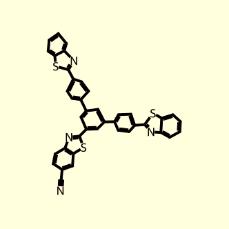 N#Cc1ccc2nc(-c3cc(-c4ccc(-c5nc6ccccc6s5)cc4)cc(-c4ccc(-c5nc6ccccc6s5)cc4)c3)sc2c1